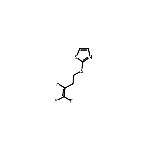 FC(F)=C(F)CCSc1nccs1